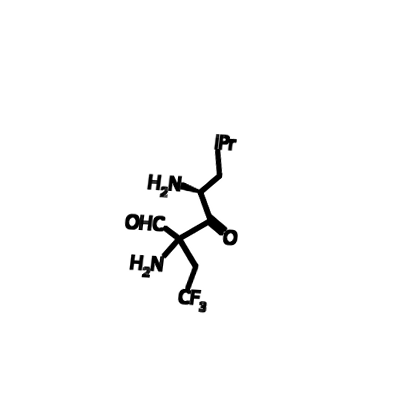 CC(C)C[C@H](N)C(=O)C(N)(C=O)CC(F)(F)F